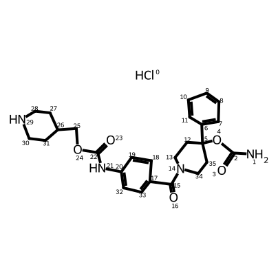 Cl.NC(=O)OC1(c2ccccc2)CCN(C(=O)c2ccc(NC(=O)OCC3CCNCC3)cc2)CC1